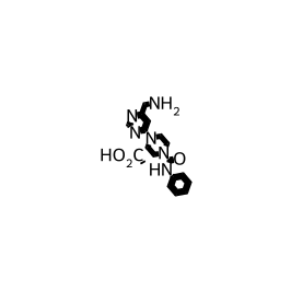 CC(=O)O.NCc1cc(N2CCN(C(=O)Nc3ccccc3)CC2)ncn1